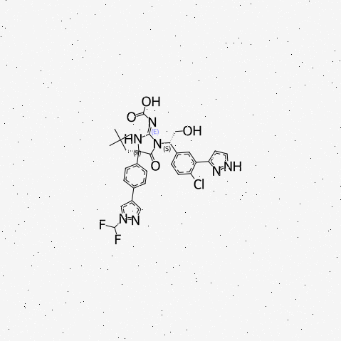 CC(C)(C)C[C@]1(c2ccc(-c3cnn(C(F)F)c3)cc2)N/C(=N\C(=O)O)N([C@H](CO)c2ccc(Cl)c(-c3cc[nH]n3)c2)C1=O